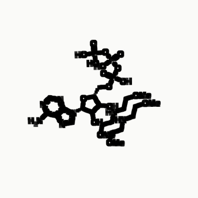 COCCNCCOC.COCCNCCOC.Nc1ncnc2c1ncn2[C@@H]1O[C@H](COP(=O)(O)OP(=O)(O)OP(=O)(O)O)C(O)C1O